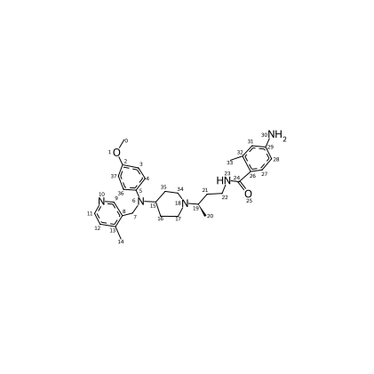 COc1ccc(N(Cc2cnccc2C)C2CCN([C@H](C)CCNC(=O)c3ccc(N)cc3C)CC2)cc1